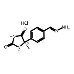 C[C@]1(c2ccc(C=NN)cc2)NC(=O)NC1=O.Cl